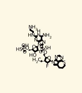 C=C[C@H]1[C@@H](F)[C@H](n2cc3c4c(ncnc42)SCCC3)O[C@@H]1COP(=O)(S)O[C@@H]1[C@H](O)[C@@H](COP(=O)(O)S)O[C@H]1n1cnc2c1N=C(NCCN)NC2N